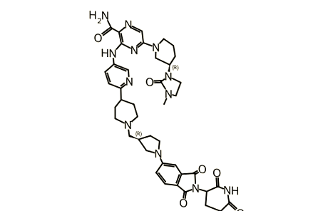 CN1CCN([C@@H]2CCCN(c3cnc(C(N)=O)c(Nc4ccc(C5CCN(C[C@H]6CCN(c7ccc8c(c7)C(=O)N(C7CCC(=O)NC7=O)C8=O)C6)CC5)nc4)n3)C2)C1=O